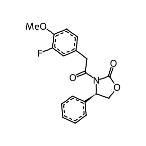 COc1ccc(CC(=O)N2C(=O)OC[C@H]2c2ccccc2)cc1F